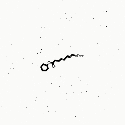 CCCCCCCCCCC/C=C/CCCCC(=O)OC1CCCCC1